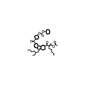 CCCCC/C(=N\OC(C)=O)C(=O)c1ccc2c(c1)c1cc(C(=O)c3ccc(OC(=O)Oc4ccccc4)cc3)ccc1n2CC(CC)CCCC